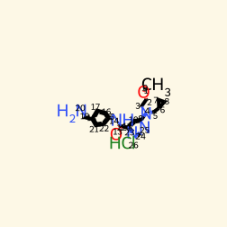 COCCN(CC1CC1)c1cc(C(=O)Nc2ccc(CN)cc2)ncn1.Cl